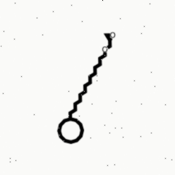 C(CCCCCCCC1CCCCCCCCCCC1)CCCCCCOCC1CO1